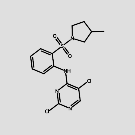 CC1CCN(S(=O)(=O)c2ccccc2Nc2nc(Cl)ncc2Cl)C1